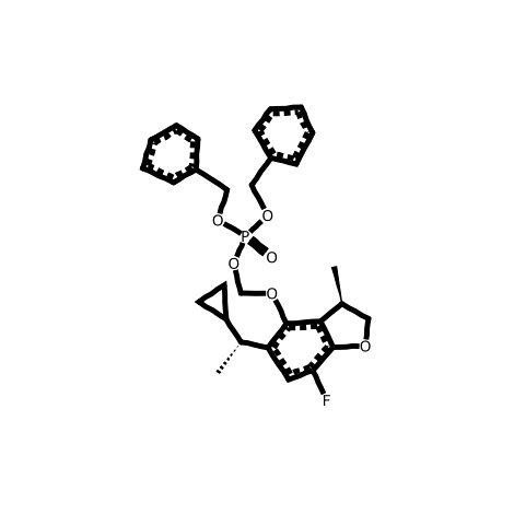 C[C@H]1COc2c(F)cc([C@H](C)C3CC3)c(OCOP(=O)(OCc3ccccc3)OCc3ccccc3)c21